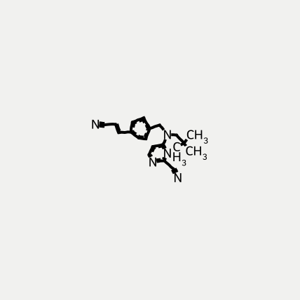 CC(C)(C)CN(Cc1ccc(C=CC#N)cc1)c1ccnc(C#N)n1